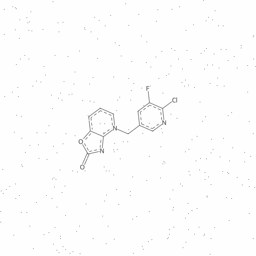 O=c1nc2n(Cc3cnc(Cl)c(F)c3)cccc-2o1